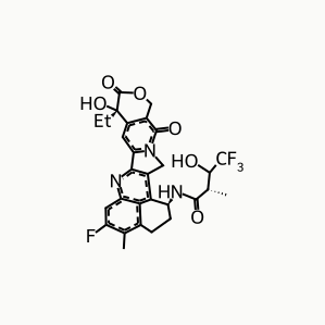 CC[C@@]1(O)C(=O)OCc2c1cc1n(c2=O)Cc2c-1nc1cc(F)c(C)c3c1c2[C@@H](NC(=O)[C@@H](C)C(O)C(F)(F)F)CC3